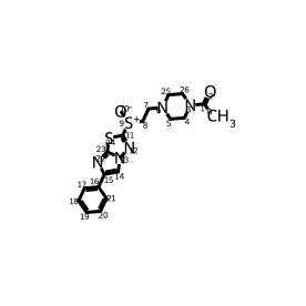 CC(=O)N1CCN(CC[S+]([O-])c2nn3cc(-c4ccccc4)nc3s2)CC1